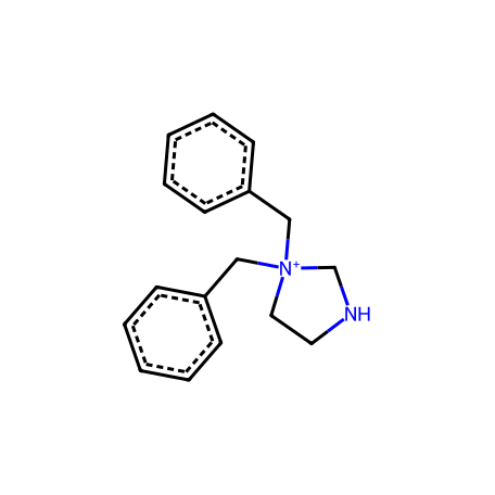 c1ccc(C[N+]2(Cc3ccccc3)CCNC2)cc1